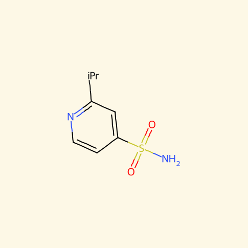 CC(C)c1cc(S(N)(=O)=O)ccn1